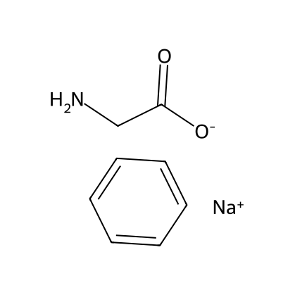 NCC(=O)[O-].[Na+].c1ccccc1